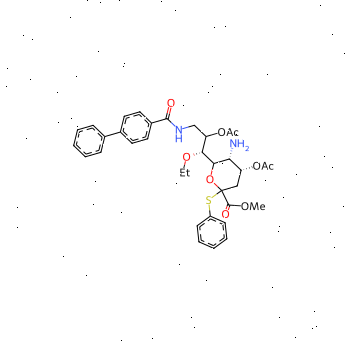 CCO[C@H](C(CNC(=O)c1ccc(-c2ccccc2)cc1)OC(C)=O)C1OC(Sc2ccccc2)(C(=O)OC)C[C@@H](OC(C)=O)[C@H]1N